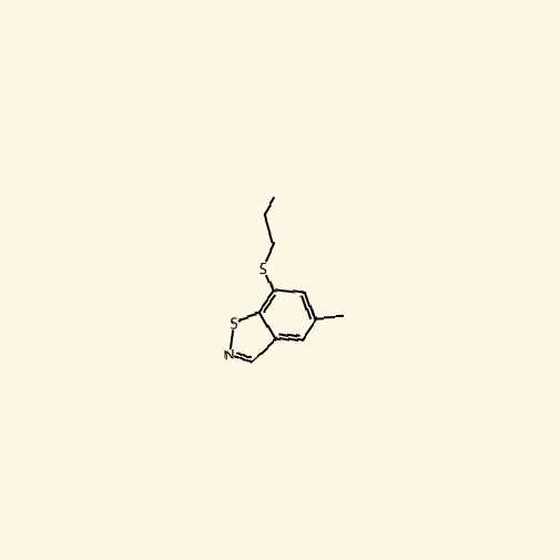 CCCSc1cc(C)cc2cnsc12